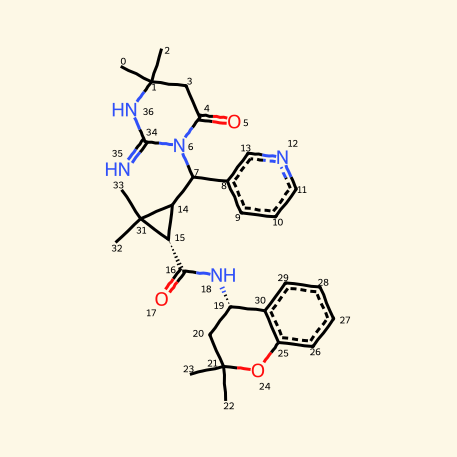 CC1(C)CC(=O)N(C(c2cccnc2)C2[C@H](C(=O)N[C@H]3CC(C)(C)Oc4ccccc43)C2(C)C)C(=N)N1